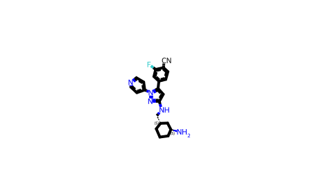 N#Cc1ccc(-c2cc(NC[C@H]3CCC[C@H](N)C3)nn2-c2ccncc2)cc1F